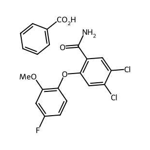 COc1cc(F)ccc1Oc1cc(Cl)c(Cl)cc1C(N)=O.O=C(O)c1ccccc1